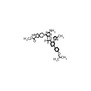 CCOC(=O)C1CC2(CCN(c3cc(O[C@H](c4ccc(-c5ccc(OCC(C)C)cc5)cc4-n4ccc(C)n4)C(F)(F)F)nc(N)n3)CC2)CN1